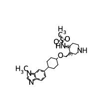 Cn1cnc2ccc(C3CCC(OC[C@@H]4CNCC[C@@H]4NS(C)(=O)=O)CC3)cc21